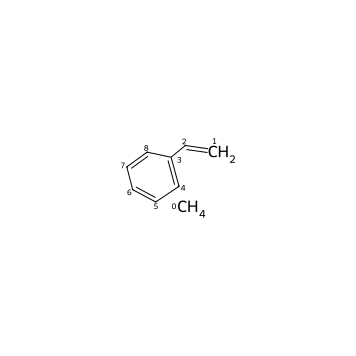 C.C=Cc1ccccc1